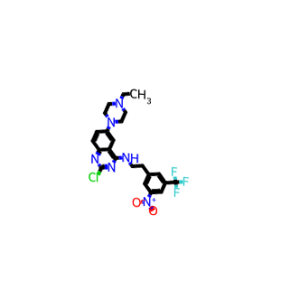 CCN1CCN(c2ccc3nc(Cl)nc(NCCc4cc([N+](=O)[O-])cc(C(F)(F)F)c4)c3c2)CC1